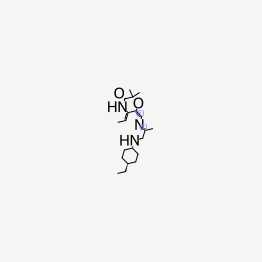 CC=C1NC(=O)C(C)(C)O/C1=C/N=C(\C)CN[C@H]1CC[C@H](CC)CC1